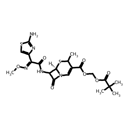 CON=C(C(=O)NC1C(=O)N2C=C(C(=O)OCOC(=O)C(C)(C)C)C(C)S[C@H]12)c1csc(N)n1